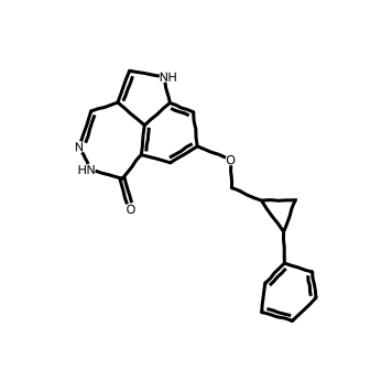 O=C1NN=Cc2c[nH]c3cc(OCC4CC4c4ccccc4)cc1c23